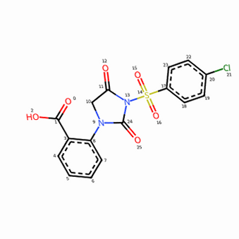 O=C(O)c1ccccc1N1CC(=O)N(S(=O)(=O)c2ccc(Cl)cc2)C1=O